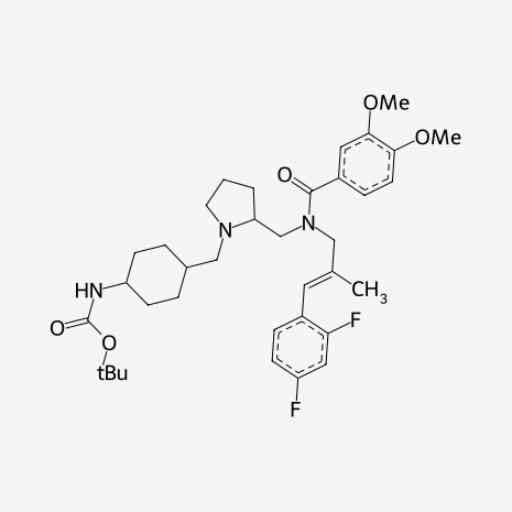 COc1ccc(C(=O)N(CC(C)=Cc2ccc(F)cc2F)CC2CCCN2CC2CCC(NC(=O)OC(C)(C)C)CC2)cc1OC